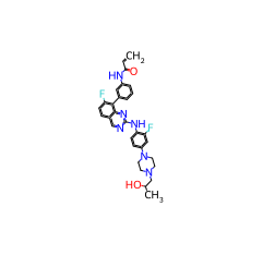 C=CC(=O)Nc1cccc(-c2c(F)ccc3cnc(Nc4ccc(N5CCN(CC(C)O)CC5)cc4F)nc23)c1